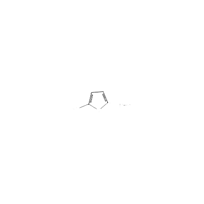 CCC[C@@H](C)c1ccc(C(C)C)s1